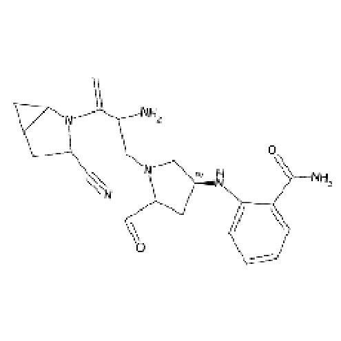 C=C(C(N)CN1C[C@@H](Nc2ccccc2C(N)=O)CC1C=O)N1C(C#N)CC2CC21